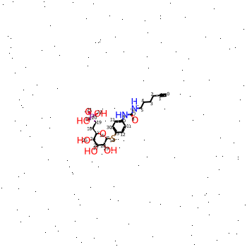 C#CCCCCNC(=O)Nc1ccc(S[C@@H]2O[C@H](CCP(=O)(O)O)[C@@H](O)[C@H](O)[C@@H]2O)cc1